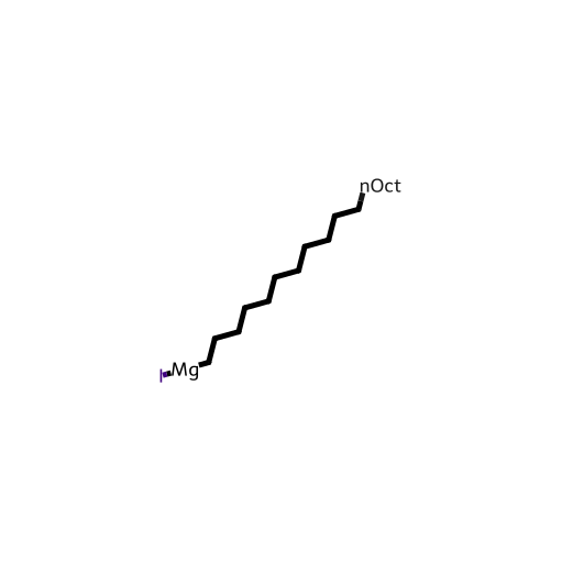 CCCCCCCCCCCCCCCCCC[CH2][Mg][I]